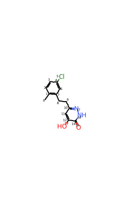 Cc1ccc(Cl)cc1CCc1cc(O)c(=O)[nH]n1